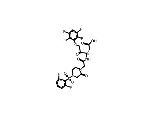 O=C(O)C[C@H](NC(=O)CN1CCN(S(=O)(=O)c2c(F)cccc2F)CC1=O)C(=O)COc1c(F)c(F)cc(F)c1F